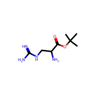 CC(C)(C)OC(=O)C(N)CNC(=N)N